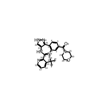 O=C(c1ccc2c(c1)N=C(c1ncccc1C(F)(F)F)Nc1c[nH]nc1-2)N1CCOCC1